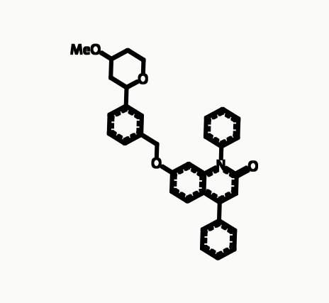 COC1CCOC(c2cccc(COc3ccc4c(-c5ccccc5)cc(=O)n(-c5ccccc5)c4c3)c2)C1